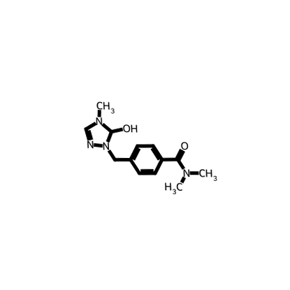 CN(C)C(=O)c1ccc(CN2N=CN(C)C2O)cc1